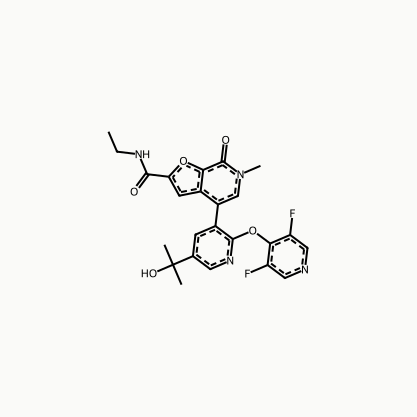 CCNC(=O)c1cc2c(-c3cc(C(C)(C)O)cnc3Oc3c(F)cncc3F)cn(C)c(=O)c2o1